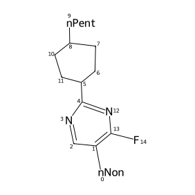 CCCCCCCCCc1cnc(C2CCC(CCCCC)CC2)nc1F